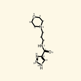 O=C(NCCCN1CCOCC1)c1c[nH]nn1